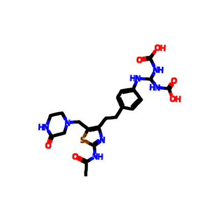 CC(=O)Nc1nc(CCc2ccc(NC(NC(=O)O)NC(=O)O)cc2)c(CN2CCNC(=O)C2)s1